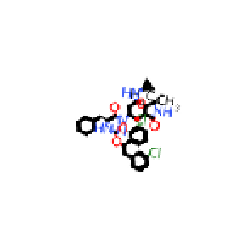 CC1(C)CC(CC(CC(=O)NC2CC2)NC(=O)[C@H](CC2CCCCC2)NC(=O)OC(Cc2cccc(Cl)c2)c2cccc(Cl)c2)C(=O)N1